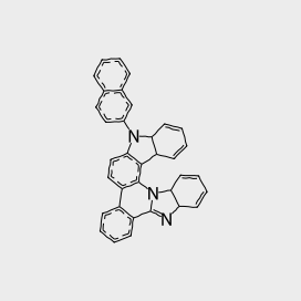 C1=CC2N=C3c4ccccc4-c4ccc5c(c4N3C2C=C1)C1C=CC=CC1N5c1ccc2ccccc2c1